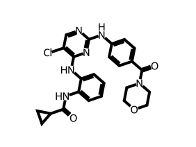 O=C(Nc1ccccc1Nc1nc(Nc2ccc(C(=O)N3CCOCC3)cc2)ncc1Cl)C1CC1